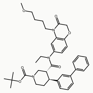 CCN(C(=O)[C@H]1CN(C(=O)OC(C)(C)C)CC[C@@H]1c1cccc(-c2ccccc2)c1)c1ccc2c(c1)N(CCCCOC)C(=O)CO2